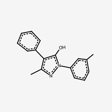 Cc1cccc(-n2nc(C)c(-c3ccccc3)c2O)c1